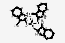 O=P(Oc1[nH]c2ccccc2c1Cl)(Oc1[nH]c2ccccc2c1Cl)Oc1[nH]c2ccccc2c1Cl